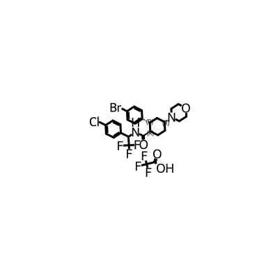 O=C(NC(c1ccc(Cl)cc1)C(F)(F)F)[C@@H]1CC[C@@H](N2CCOCC2)C[C@H]1c1ccc(Br)cc1.O=C(O)C(F)(F)F